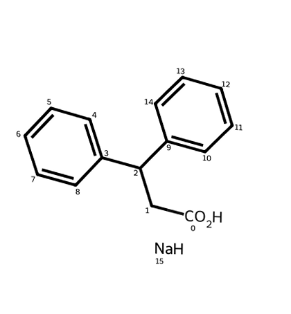 O=C(O)CC(c1ccccc1)c1ccccc1.[NaH]